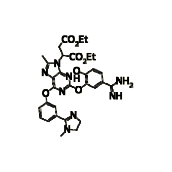 CCOC(=O)CC(C(=O)OCC)n1c(C)nc2c(Oc3cccc(C4=NCCN4C)c3)nc(Oc3cc(C(=N)N)ccc3O)nc21